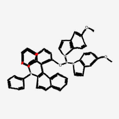 COc1ccc2c(ccn2P(Oc2ccc3ccccc3c2-c2c(P(c3ccccc3)c3ccccc3)ccc3ccccc23)n2ccc3cc(OC)ccc32)c1